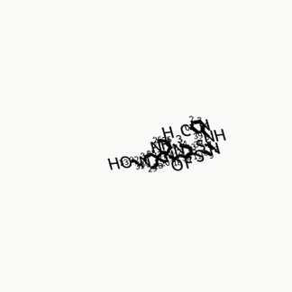 Cc1ccnc(Nc2ncc(Sc3ccnc(C(=O)NCC4(c5ccccn5)CCN(CCO)CC4)c3F)s2)c1